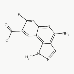 Cn1ncc2c(N)nc3cc(F)c(C(=O)Cl)cc3c21